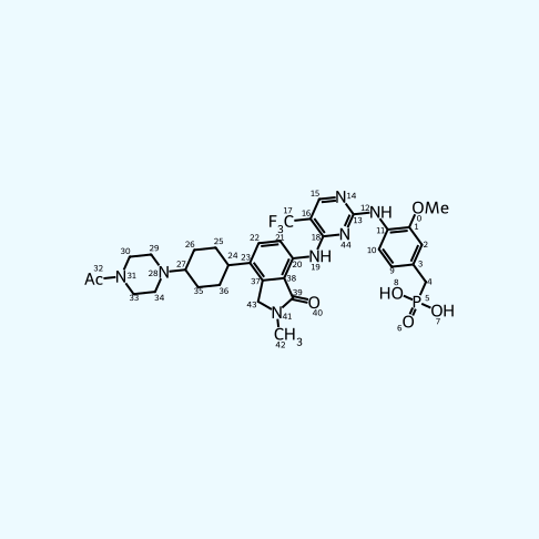 COc1cc(CP(=O)(O)O)ccc1Nc1ncc(C(F)(F)F)c(Nc2ccc(C3CCC(N4CCN(C(C)=O)CC4)CC3)c3c2C(=O)N(C)C3)n1